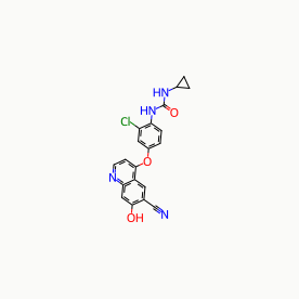 N#Cc1cc2c(Oc3ccc(NC(=O)NC4CC4)c(Cl)c3)ccnc2cc1O